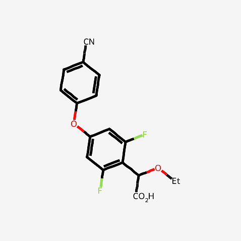 CCOC(C(=O)O)c1c(F)cc(Oc2ccc(C#N)cc2)cc1F